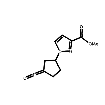 COC(=O)c1ccn(C2CCC(=C=O)C2)n1